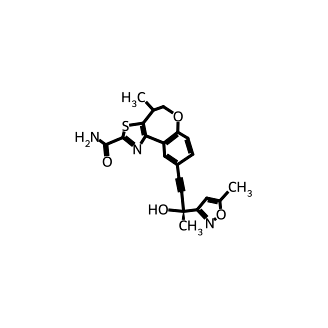 Cc1cc([C@](C)(O)C#Cc2ccc3c(c2)-c2nc(C(N)=O)sc2C(C)CO3)no1